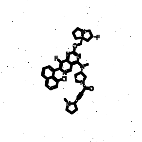 CN1CCCC1C#CC(=O)N1CC[C@H](N(C)c2nc(OC[C@@]34CCCN3C[C@H](F)C4)nc3c(F)c(-c4cccc5cccc(Cl)c45)ncc23)C1